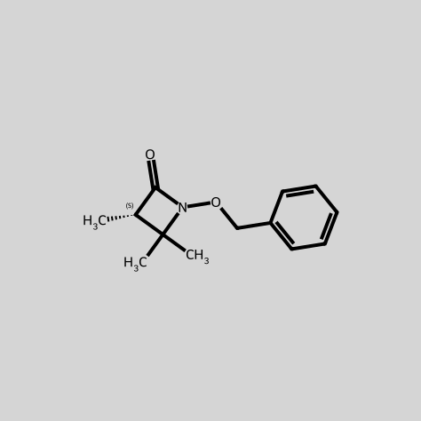 C[C@@H]1C(=O)N(OCc2ccccc2)C1(C)C